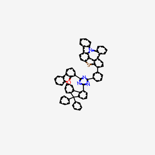 c1ccc(C2(c3ccccc3)c3ccccc3-c3c(-c4nc(-c5cccc(-c6ccc7c8ccccc8n8c9ccccc9c9ccc%10sc6c7c%10c98)c5)nc(-c5cccc6c5oc5ccccc56)n4)cccc32)cc1